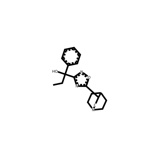 CCC(O)(c1ccccc1)c1noc(C2CN3CCC2CC3)n1